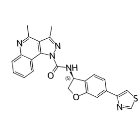 Cc1nc2ccccc2c2c1c(C)nn2C(=O)N[C@@H]1COc2cc(-c3cscn3)ccc21